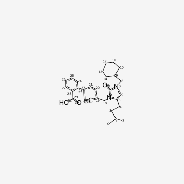 CC(C)CCc1cn(CC2CCCCC2)c(=O)n1Cc1ccc(-c2ccccc2C(=O)O)cc1